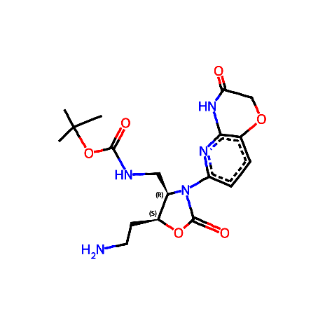 CC(C)(C)OC(=O)NC[C@@H]1[C@H](CCN)OC(=O)N1c1ccc2c(n1)NC(=O)CO2